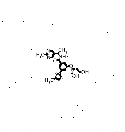 Cc1cnc(-c2cc(O[C@@H](CO)CCO)cc(C(=O)N[C@H](C)c3cnc(C(F)(F)F)nc3)c2)s1